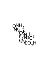 Cc1ccn2c(CC3CN(C(=O)O)CCO3)c(-c3c(F)cc(-n4cnc(C(N)=O)c4)cc3F)nc2c1